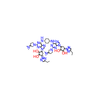 CCc1cnn([C@H]2C[C@@H](n3cnc4c(N[C@H]5CC[C@H](Nc6nc(N7CC[C@@H](N(C)C)C7)nc7c6ncn7[C@@H]6C[C@H](n7ncc(CC)n7)[C@@H](O)[C@H]6O)CC5)nc(N5CC[C@@H](N(C)C)C5)nc43)[C@H](O)[C@@H]2O)n1